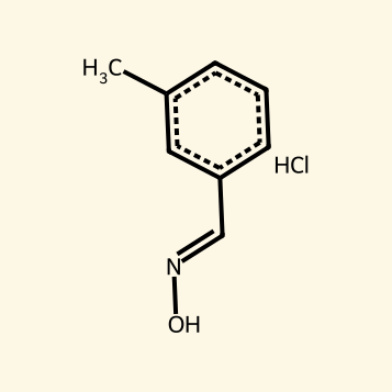 Cc1cccc(C=NO)c1.Cl